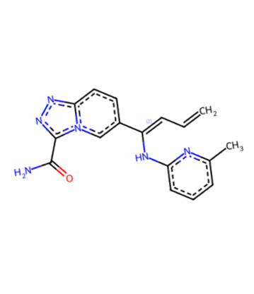 C=C/C=C(\Nc1cccc(C)n1)c1ccc2nnc(C(N)=O)n2c1